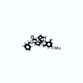 COc1cc(C)c(NC(=O)C2([N+]3(CC(=O)OCc4ccccc4)CCCC3)CCC2)c(C)c1